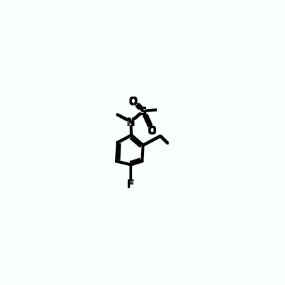 CCc1cc(F)ccc1N(C)S(C)(=O)=O